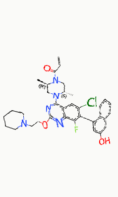 C=CC(=O)N1C[C@H](C)N(c2nc(OCCN3CCCCC3)nc3c(F)c(-c4cc(O)cc5ccccc45)c(Cl)cc23)C[C@H]1C